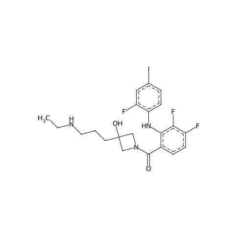 CCNCCCC1(O)CN(C(=O)c2ccc(F)c(F)c2Nc2ccc(I)cc2F)C1